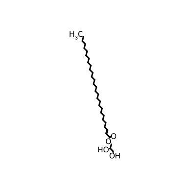 CCCCCCCCCCCCCCCCCCCCCCCCCCCC=CC(=O)OCC(O)CO